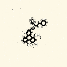 Cc1ccccc1-c1cc(COC(CCC2CCCCC2)c2cncs2)ccc1-c1cccc(C(=O)O)c1